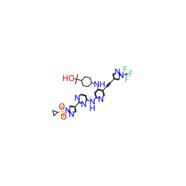 CC(C)(O)C1CCC(Nc2cc(Nc3ccnc(-c4cnn(S(=O)(=O)C5CC5)c4)n3)ncc2C#Cc2cnn(C(F)(F)F)c2)CC1